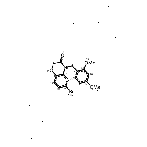 COc1ccc(CN2C(=O)COc3ccc(Br)nc32)c(OC)c1